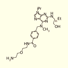 CC[C@H](CO)Nc1nc(N(C)Cc2ccc(C(=O)NCCOCCN)cc2)c2ncn(C(C)C)c2n1